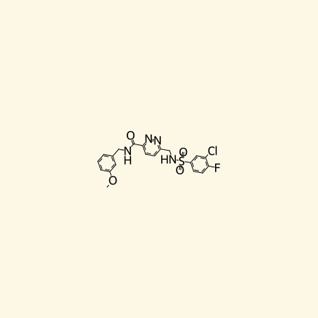 COc1cccc(CNC(=O)c2ccc(CNS(=O)(=O)c3ccc(F)c(Cl)c3)nn2)c1